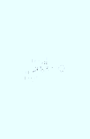 CC(C)C[C@H](NC(=O)OCc1ccccc1)C(=O)N[C@H](C=O)CC(=O)O